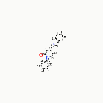 O=c1cc(/C=C/c2ccccc2)ccn1-c1ccccc1